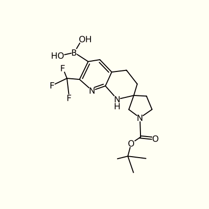 CC(C)(C)OC(=O)N1CCC2(CCc3cc(B(O)O)c(C(F)(F)F)nc3N2)C1